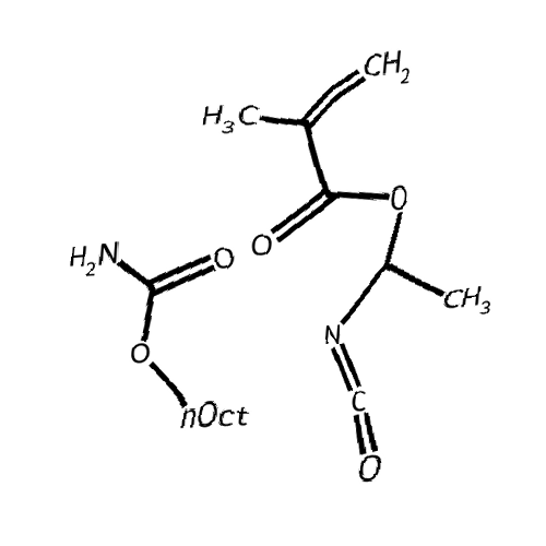 C=C(C)C(=O)OC(C)N=C=O.CCCCCCCCOC(N)=O